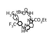 CCOC(=O)c1c2c(nn1CCNC(=O)OC(C)(C)C)-c1nc(Nc3ccc(N4CCN(C)CC4)c(C(F)(F)F)c3)ncc1CC2